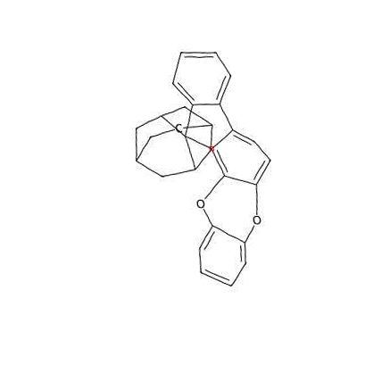 c1ccc2c(c1)Oc1ccc3c(c1O2)C1(c2ccccc2-3)C2CC3CCC(C2)CC1C3